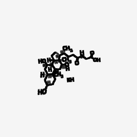 C[C@H](CCC(=O)NCC(=O)O)[C@H]1CC[C@H]2[C@@H]3[C@H](O)C[C@@H]4C[C@H](O)CC[C@]4(C)[C@H]3C[C@H](O)[C@]12C.[KH]